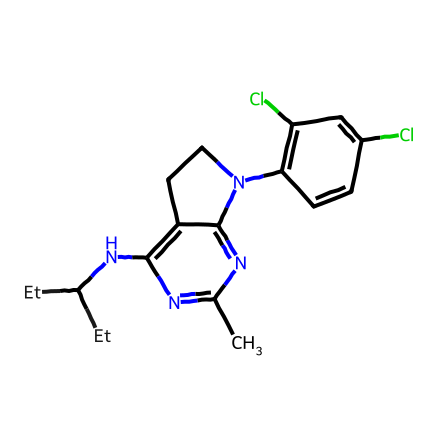 CCC(CC)Nc1nc(C)nc2c1CCN2c1ccc(Cl)cc1Cl